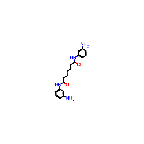 Nc1cccc(NC(=O)CCCCCC(O)Nc2cccc(N)c2)c1